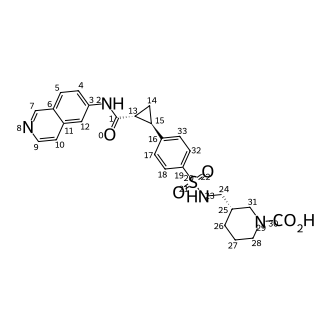 O=C(Nc1ccc2cnccc2c1)[C@@H]1C[C@H]1c1ccc(S(=O)(=O)NC[C@H]2CCCN(C(=O)O)C2)cc1